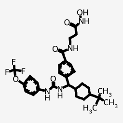 CC(C)(C)C1CCC(C(NC(=O)Nc2ccc(OC(F)(F)F)cc2)c2ccc(C(=O)NCCC(=O)NO)cc2)CC1